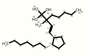 CCCCCCC[C@H]1CCC[C@@H]1/C=C/C(C)(CCCCC)C(O)(O)O